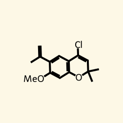 C=C(C)c1cc2c(cc1OC)OC(C)(C)C=C2Cl